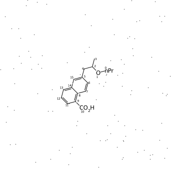 CCCOC(C)Cc1ccc2c(C(=O)O)[c]ccc2c1